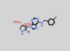 OC[C@@]12CN[C@@H](C1O)[C@H](n1cnc3c(NCc4cccc(I)c4)ncnc31)O2